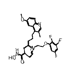 COc1ccc2ncc(C)c(CCCC3CC(C(=O)NO)CCN3CCOc3cc(F)cc(F)c3F)c2c1